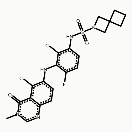 Cn1cnc2ccc(Nc3c(F)ccc(NS(=O)(=O)N4CC5(CCC5)C4)c3Cl)c(Cl)c2c1=O